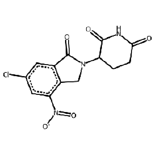 O=C1CCC(N2Cc3c(cc(Cl)cc3[N+](=O)[O-])C2=O)C(=O)N1